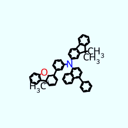 CC1(C)c2ccccc2-c2ccc(N(c3cccc(C4=CC=C[C@@]5(C)c6ccccc6OC45)c3)c3ccc(-c4ccccc4)c4ccccc34)cc21